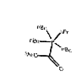 CCCCP(CCC)(CCCC)(CCCC)C(=O)OC